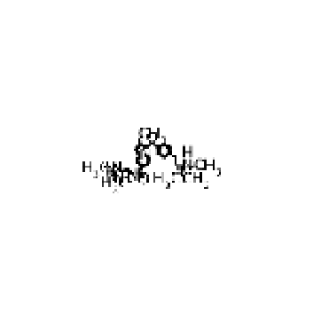 CCN[C@H](CCc1ccc(C(=O)c2c(CC)cc3cc(C(=O)N(CC)Cc4nnn(C)n4)ccn23)cc1)C(C)C